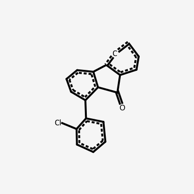 O=C1c2ccccc2-c2cccc(-c3ccccc3Cl)c21